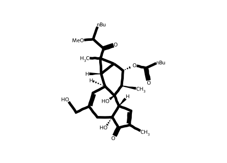 CCCCC(=O)O[C@H]1C2[C@H]([C@@H]3C=C(CO)C[C@]4(O)C(=O)C(C)=C[C@H]4[C@@]3(O)[C@@H]1C)C2(C)C(=O)C(CCCC)OC